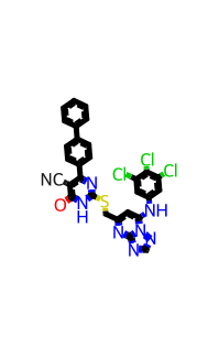 N#Cc1c(-c2ccc(-c3ccccc3)cc2)nc(SCc2cc(Nc3cc(Cl)c(Cl)c(Cl)c3)n3ncnc3n2)[nH]c1=O